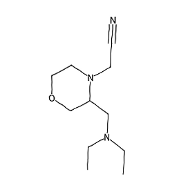 CCN(CC)CC1COCCN1CC#N